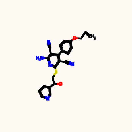 C=CCOc1ccc(-c2c(C#N)c(N)nc(SCC(=O)c3cccnc3)c2C#N)cc1